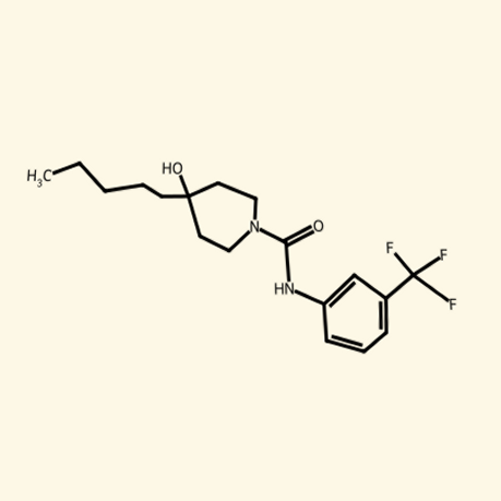 CCCCCC1(O)CCN(C(=O)Nc2cccc(C(F)(F)F)c2)CC1